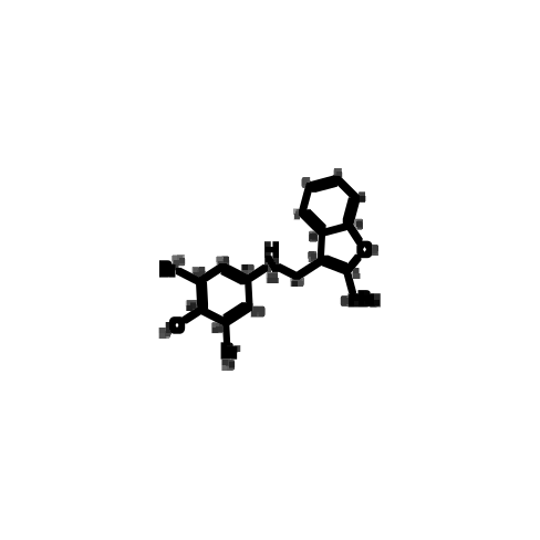 CCCCc1oc2ccccc2c1CNc1cc(Br)c([O])c(Br)c1